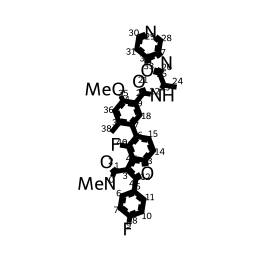 CNC(=O)c1c(-c2ccc(F)cc2)oc2ccc(-c3cc(C(=O)NC(C)c4nc5cnccc5o4)c(OC)cc3C)c(F)c12